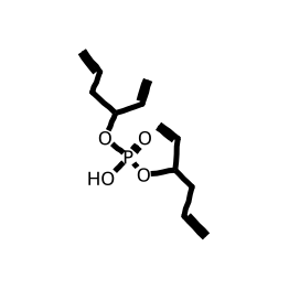 C=CCC(C=C)OP(=O)(O)OC(C=C)CC=C